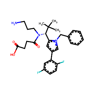 CC(C)(C)[C@H](c1cc(-c2cc(F)ccc2F)cn1Cc1ccccc1)N(CCCN)C(=O)CCC(=O)O